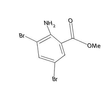 COC(=O)c1cc(Br)cc(Br)c1N